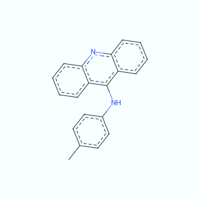 Cc1ccc(Nc2c3ccccc3nc3ccccc23)cc1